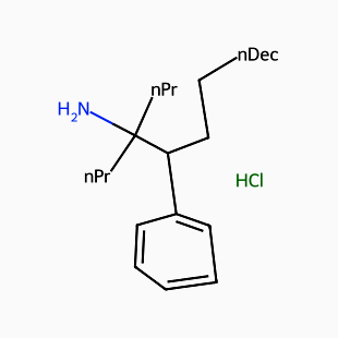 CCCCCCCCCCCCC(c1ccccc1)C(N)(CCC)CCC.Cl